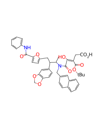 CC(C(Cc1ccc(C(=O)Nc2ccccc2)o1)c1ccc2c(c1)OCO2)N(Cc1ccc2ccccc2c1)C(=O)C(O)=C(CC(=O)O)C(=O)OC(C)(C)C